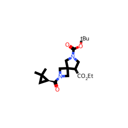 CCOC(=O)C1CN(C(=O)OC(C)(C)C)CC12CN(C(=O)[C@H]1CC1(C)C)C2